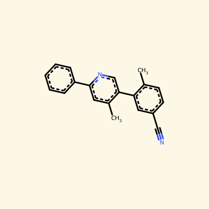 Cc1cc(-c2ccccc2)ncc1-c1cc(C#N)ccc1C